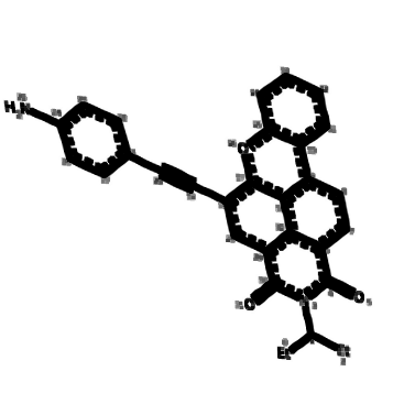 CCC(CC)n1c(=O)c2ccc3c4ccccc4oc4c(C#Cc5ccc(N)cc5)cc(c1=O)c2c43